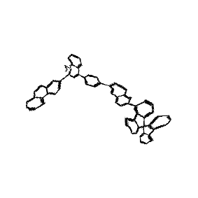 c1ccc2c(c1)-c1ccccc1C21c2ccccc2-c2c(-c3ccc4cc(-c5ccc(-c6cc(-c7ccc8c(ccc9ccccc98)c7)nc7ccccc67)cc5)ccc4c3)cccc21